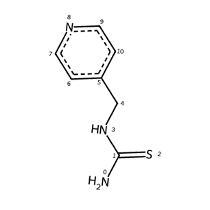 NC(=S)NCc1ccncc1